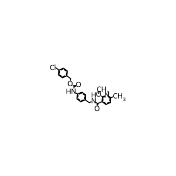 COc1nc(C)ccc1C(=O)NCc1ccc(NC(=O)OCc2ccc(Cl)cc2)cc1